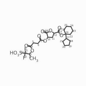 CC(OC(=O)CCC(=O)OC1CC(C(=O)OC2(C3CCCC3)CCCCC2)OC1=O)C(F)(F)S(=O)(=O)O